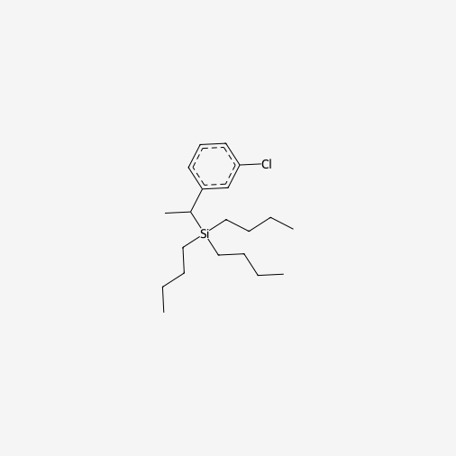 CCCC[Si](CCCC)(CCCC)C(C)c1cccc(Cl)c1